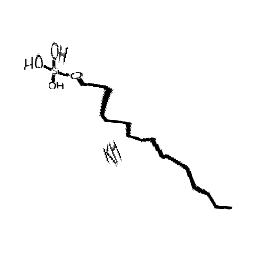 CCCCCCCCCCCCO[Si](O)(O)O.[KH]